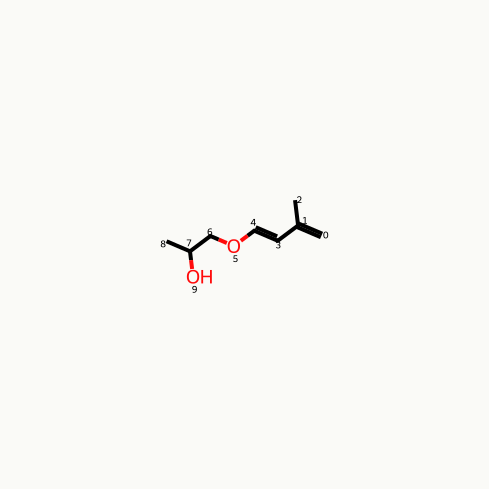 C=C(C)C=COCC(C)O